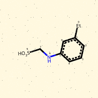 CCc1cccc(NCS(=O)(=O)O)c1